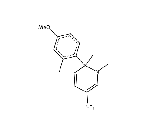 COc1ccc(C2(C)C=CC(C(F)(F)F)=CN2C)c(C)c1